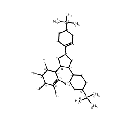 C[Si](C)(C)C1CC=C(C2CC(C3CCC([Si](C)(C)C)CC3)C(C3C(F)=C(F)C(F)C(F)C3F)C2)CC1